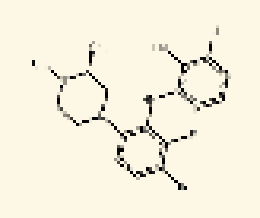 C[C@H]1CN(c2ccc(Br)c(F)c2Nc2ncnc(Cl)c2N)CCN1C